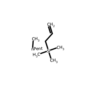 C=CC[Si](C)(C)C.CCCCCC